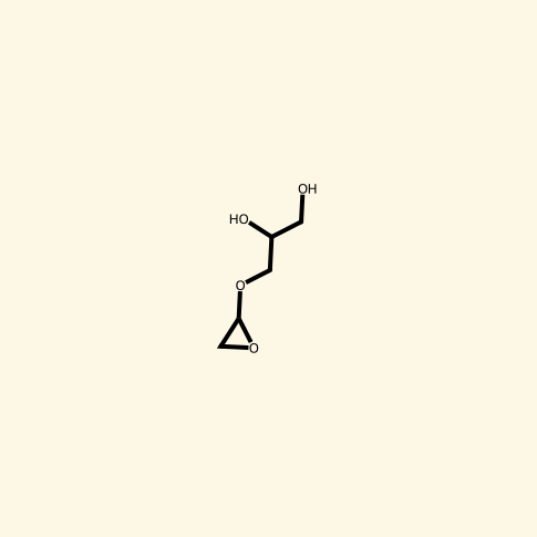 OCC(O)COC1CO1